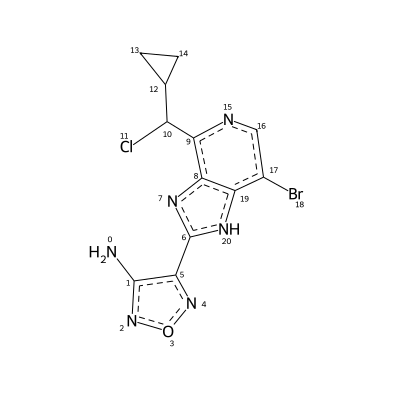 Nc1nonc1-c1nc2c(C(Cl)C3CC3)ncc(Br)c2[nH]1